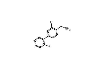 NCc1ccc(-c2c[c]ccc2F)cc1F